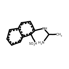 CC(N)Nc1ccc2ccccc2c1S(=O)(=O)O